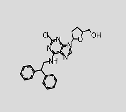 OC[C@@H]1CC[C@H](n2cnc3c(NCC(c4ccccc4)c4ccccc4)nc(Cl)nc32)O1